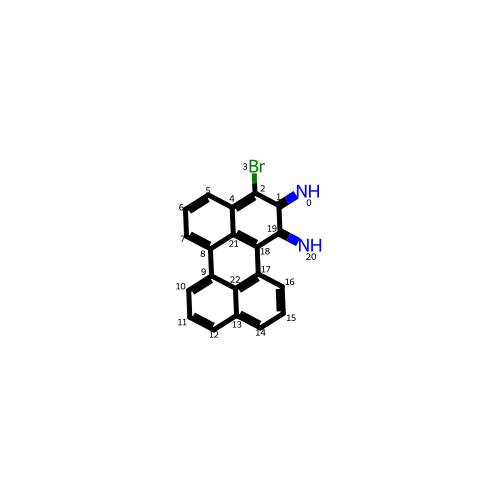 N=c1c(Br)c2cccc3c4cccc5cccc(c(c1=N)c23)c54